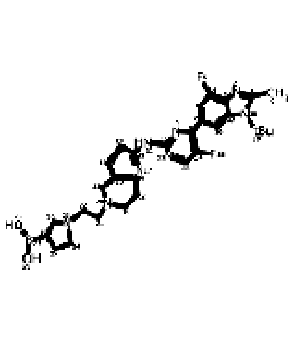 Cc1nc2c(F)cc(-c3nc(Nc4ccc5c(n4)CCN(CCN4CCC(B(O)O)C4)C5)ncc3F)cc2n1C(C)(C)C